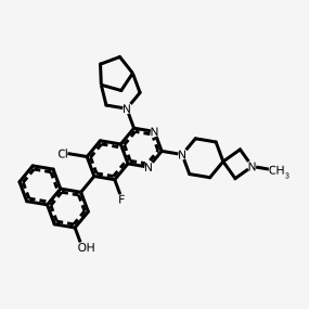 CN1CC2(CCN(c3nc(N4CC5CCC(C5)C4)c4cc(Cl)c(-c5cc(O)cc6ccccc56)c(F)c4n3)CC2)C1